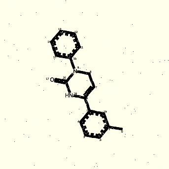 Cc1cccc(C2=CCN(c3ccccc3)C(=O)N2)c1